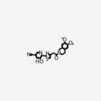 COc1cc2c(cc1OC)CN(C(=O)Cc1csc(-c3ncc(C#N)cc3O)n1)CC2